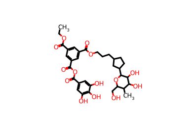 CCOC(=O)c1cc(C(=O)OCCCC2CCC(C3OC(CO)C(C)C(O)C3O)C2)cc(C(=O)OC(=O)c2cc(O)c(O)c(O)c2)c1